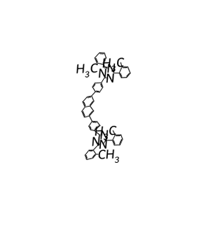 Cc1ccccc1-c1nc(-c2ccc(-c3ccc4ccc(-c5ccc(-c6nc(-c7ccccc7C)nc(-c7ccccc7C)n6)cc5)cc4c3)cc2)nc(-c2ccccc2C)n1